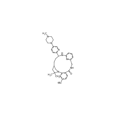 CN1CCN(c2ccc(C3CCC4CN(c5nc(C(C)(C)C)ccc5C(=O)NSc5cccc(n5)N3)C(C)(C)C4)nc2)CC1